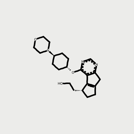 OCC[C@H]1CCC2=C1c1c(ncnc1O[C@H]1CC[C@H](N3CCOCC3)CC1)C2